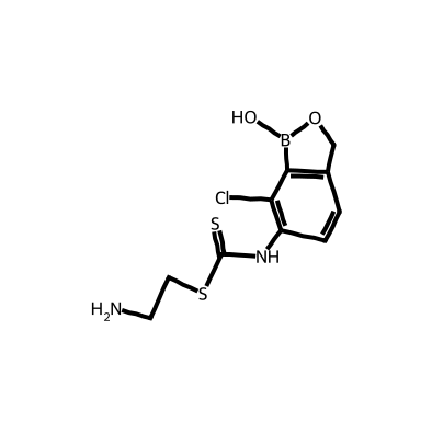 NCCSC(=S)Nc1ccc2c(c1Cl)B(O)OC2